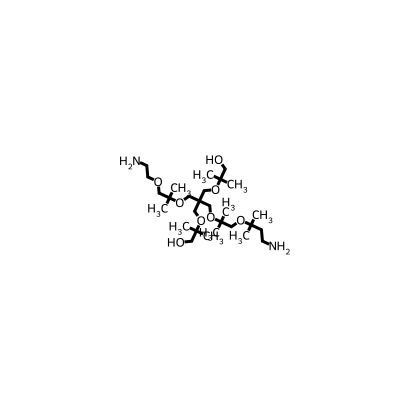 CC(C)(CO)OCC(COC(C)(C)CO)(COC(C)(C)COCCN)COC(C)(C)COC(C)(C)CCN